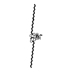 CCCCCCCCC=CCCCCCCCC(=O)OC(C)C(OC(=O)CCCCCCCCCCCCCCC)OP(=O)(O)OCC